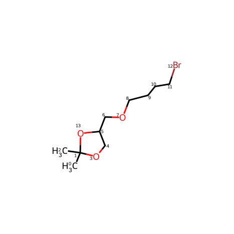 CC1(C)OCC(COCCCCBr)O1